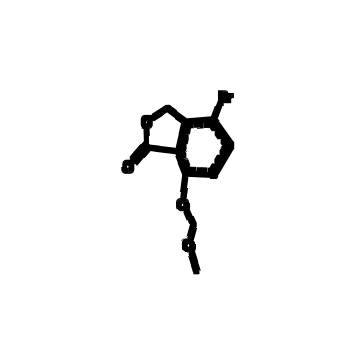 COCOc1ccc(Br)c2c1C(=O)OC2